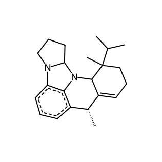 CC(C)C1(C)CCC=C2C1N1c3c(cccc3N3CCCC31)[C@H]2C